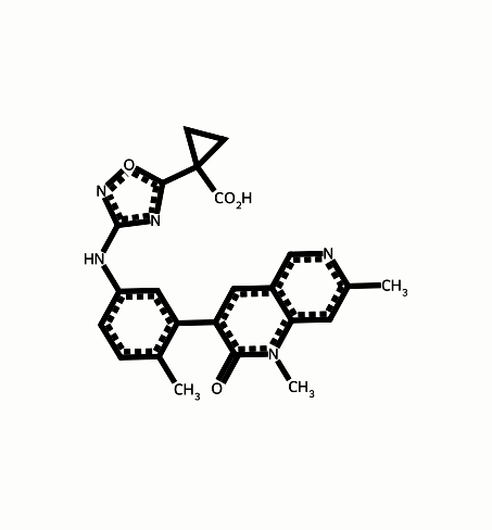 Cc1cc2c(cn1)cc(-c1cc(Nc3noc(C4(C(=O)O)CC4)n3)ccc1C)c(=O)n2C